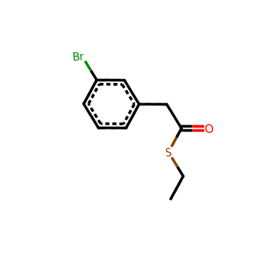 CCSC(=O)Cc1cccc(Br)c1